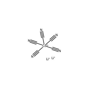 N#[C][Co-2]([C]#N)([C]#N)([C]#N)[C]#N.[Li+].[Li+]